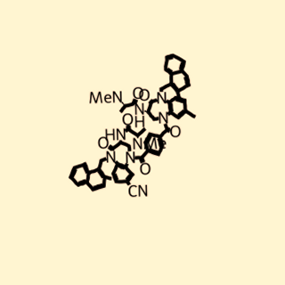 CN[C@@H](C)C(=O)N[C@H]1CN(C(=O)c2ccc(C(=O)N3C[C@H](NC(=O)[C@H](C)NC)C(=O)N(Cc4c(C)ccc5ccccc45)c4ccc(C#N)cc43)cc2)c2cc(C)ccc2N(Cc2c(C)ccc3ccccc23)C1=O